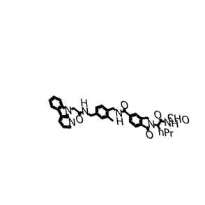 CCCC(C(=O)NC=O)N1Cc2cc(C(=O)NCc3ccc(CNC(=O)Cn4c5ccccc5c5cccnc54)cc3C)ccc2C1=O